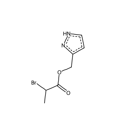 CC(Br)C(=O)OCc1cc[nH]n1